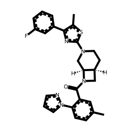 Cc1ccc(-n2cccn2)c(C(=O)N2C[C@@H]3CCN(c4nc(-c5cccc(F)c5)c(C)s4)C[C@@H]32)c1